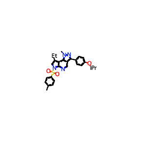 CCc1cn(S(=O)(=O)c2ccc(C)cc2)c2ncc3c(-c4ccc(OC(C)C)cc4)nn(C)c3c12